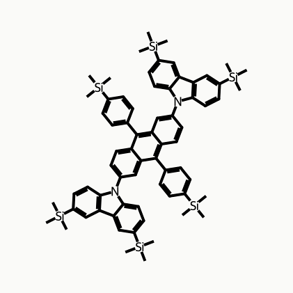 C[Si](C)(C)c1ccc(-c2c3ccc(-n4c5ccc([Si](C)(C)C)cc5c5cc([Si](C)(C)C)ccc54)cc3c(-c3ccc([Si](C)(C)C)cc3)c3ccc(-n4c5ccc([Si](C)(C)C)cc5c5cc([Si](C)(C)C)ccc54)cc23)cc1